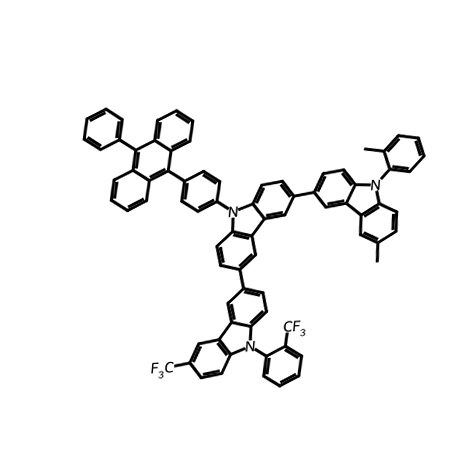 Cc1ccc2c(c1)c1cc(-c3ccc4c(c3)c3cc(-c5ccc6c(c5)c5cc(C(F)(F)F)ccc5n6-c5ccccc5C(F)(F)F)ccc3n4-c3ccc(-c4c5ccccc5c(-c5ccccc5)c5ccccc45)cc3)ccc1n2-c1ccccc1C